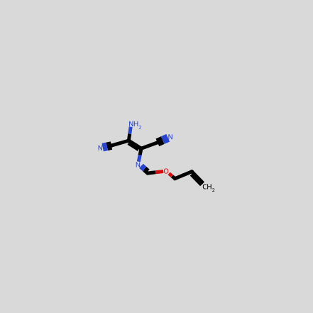 C=CCO/C=N\C(C#N)=C(\N)C#N